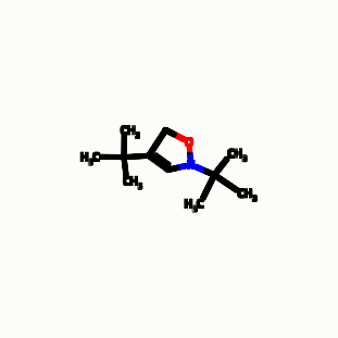 CC(C)(C)C1=CN(C(C)(C)C)OC1